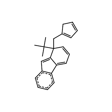 CC(C)(C)C1(CC2=CC=CC2)C=CC=C2C1=Cc1ccccc12